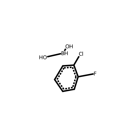 Fc1ccccc1Cl.OBO